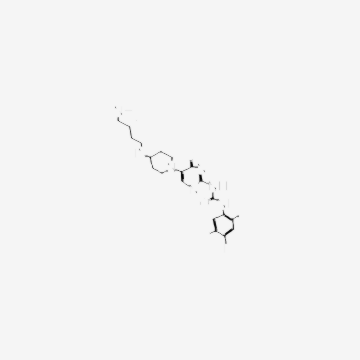 NCCCCNC1CCN(c2c[nH]c(NC(=O)Nc3cc(F)c(F)cc3F)nc2=O)CC1